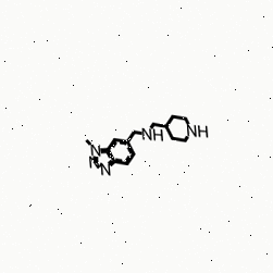 Cn1nnc2ccc(CNCC3CCNCC3)cc21